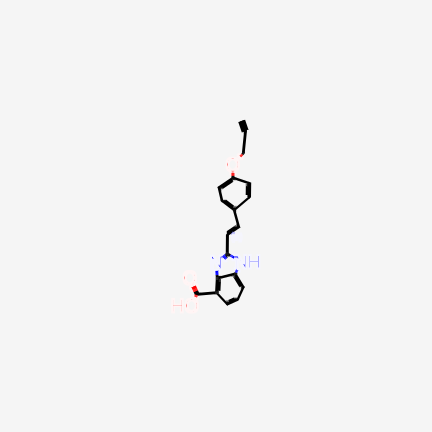 C#CCOc1ccc(/C=C/c2nc3c(C(=O)O)cccc3[nH]2)cc1